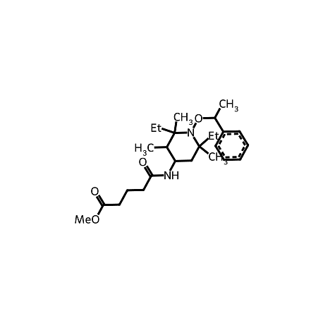 CCC1(C)CC(NC(=O)CCCC(=O)OC)C(C)C(C)(CC)N1OC(C)c1ccccc1